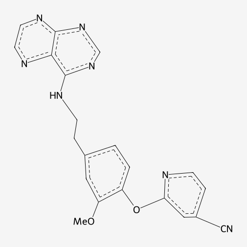 COc1cc(CCNc2ncnc3nccnc23)ccc1Oc1cc(C#N)ccn1